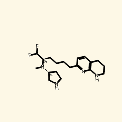 CN([C@@H]1CCNC1)[C@H](CCCCc1ccc2c(n1)NCCC2)C(F)F